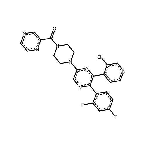 O=C(c1cnccn1)N1CCN(c2cnc(-c3ccc(F)cc3F)c(-c3ccncc3Cl)n2)CC1